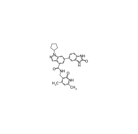 Cc1cc(C)c(CNC(=O)c2cc(-c3ccc4[nH]c(=O)[nH]c4c3)cc3c2cnn3C2CCCC2)c(=O)[nH]1